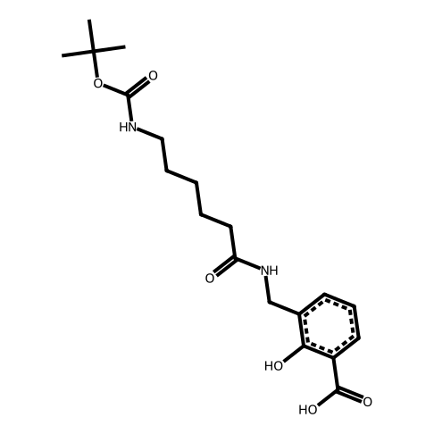 CC(C)(C)OC(=O)NCCCCCC(=O)NCc1cccc(C(=O)O)c1O